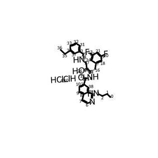 CCCNc1nccc2ccc(C(=O)N[C@@H](Cc3cc(F)cc(F)c3)[C@H](O)CNCc3cccc(CC)c3)cc12.Cl.Cl